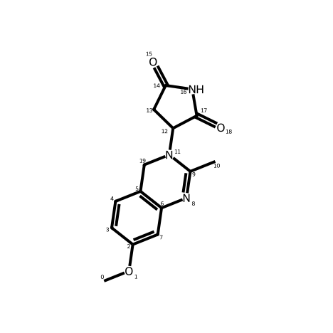 COc1ccc2c(c1)N=C(C)N(C1CC(=O)NC1=O)C2